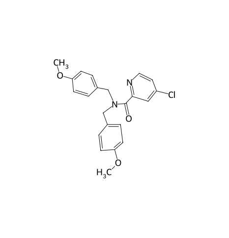 COc1ccc(CN(Cc2ccc(OC)cc2)C(=O)c2cc(Cl)ccn2)cc1